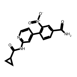 NC(=O)c1ccc(-c2ccnc(NC(=O)C3CC3)c2)c([N+](=O)[O-])c1